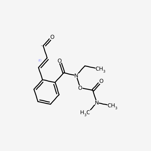 CCN(OC(=O)N(C)C)C(=O)c1ccccc1/C=C/[C]=O